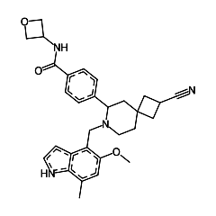 COc1cc(C)c2[nH]ccc2c1CN1CCC2(CC(C#N)C2)CC1c1ccc(C(=O)NC2COC2)cc1